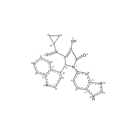 O=C(C1=C(O)C(=O)N(c2ccc3[nH]cnc3c2)C1c1ccnc2ccccc12)C1CC1